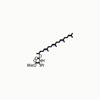 COC(=O)[C@@H](NC(=O)OC(C)CC/C=C(\C)CC/C=C(\C)CC/C=C(\C)CCC=C(C)C)C(C)C